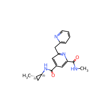 CNC(=O)c1cc(C(=O)N[C@H]2C[C@@H]2C)cc(Cc2ccccn2)n1